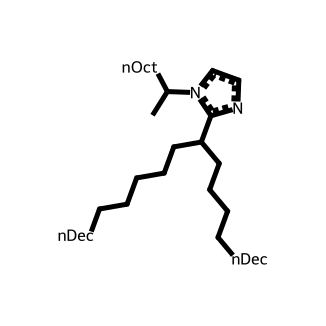 CCCCCCCCCCCCCCCC(CCCCCCCCCCCCCC)c1nccn1C(C)CCCCCCCC